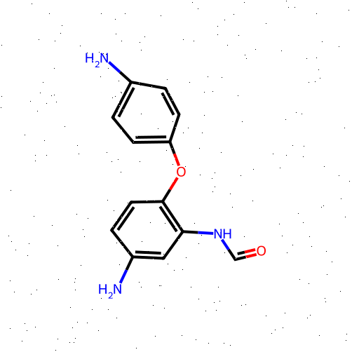 Nc1ccc(Oc2ccc(N)cc2NC=O)cc1